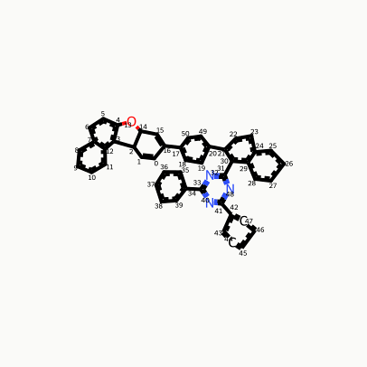 C1=CC2c3c(ccc4ccccc34)OC2C=C1c1ccc(-c2ccc3ccccc3c2-c2nc(-c3ccccc3)nc(-c3ccccc3)n2)cc1